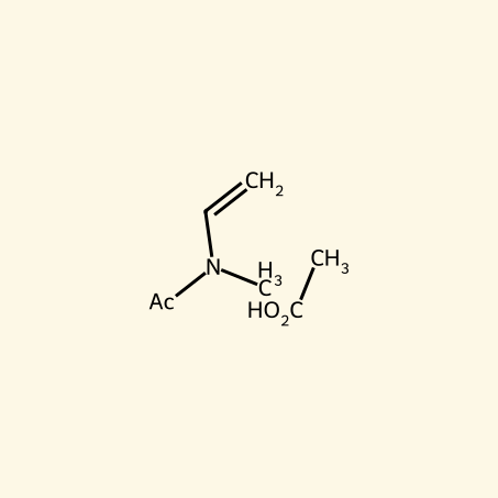 C=CN(C)C(C)=O.CC(=O)O